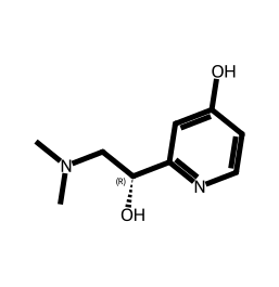 CN(C)C[C@@H](O)c1cc(O)ccn1